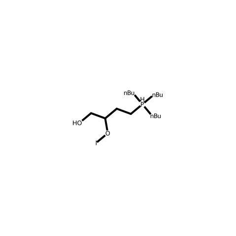 CCCC[PH](CCCC)(CCCC)CCC(CO)OI